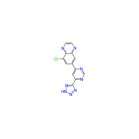 Clc1cc(-c2cc(-c3nn[nH]n3)ncn2)cc2nccnc12